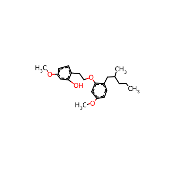 CCCC(C)Cc1ccc(OC)cc1OCCc1ccc(OC)cc1O